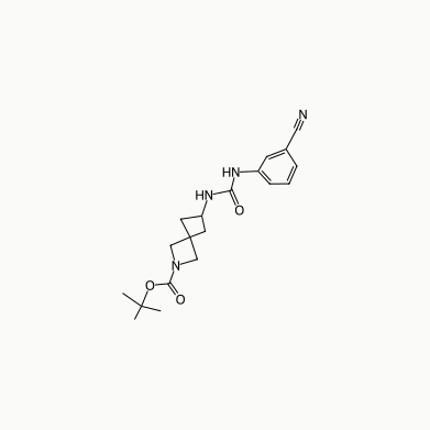 CC(C)(C)OC(=O)N1CC2(CC(NC(=O)Nc3cccc(C#N)c3)C2)C1